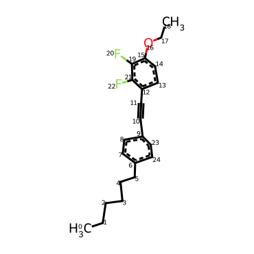 CCCCCCc1ccc(C#Cc2ccc(OCC)c(F)c2F)cc1